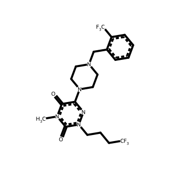 Cn1c(=O)c(N2CCN(Cc3ccccc3C(F)(F)F)CC2)nn(CCCC(F)(F)F)c1=O